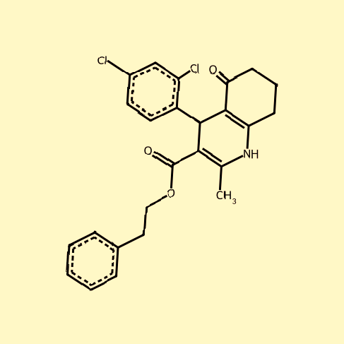 CC1=C(C(=O)OCCc2ccccc2)C(c2ccc(Cl)cc2Cl)C2=C(CCCC2=O)N1